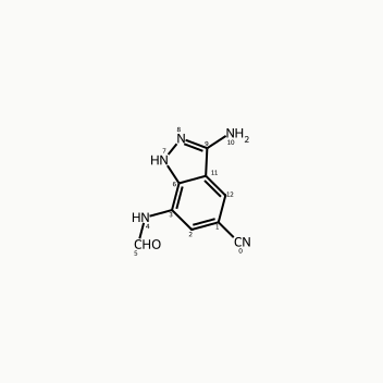 N#Cc1cc(NC=O)c2[nH]nc(N)c2c1